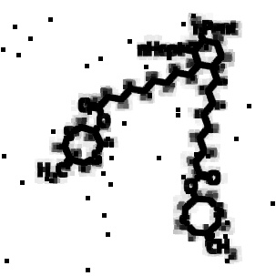 C=C1CSCC(OC(=O)CCCCCCCCC2CCC(CCCCC)C(CCCCCCC)C2CCCCCCCCC(=O)OC2CSCC(=C)CSC2)CSC1